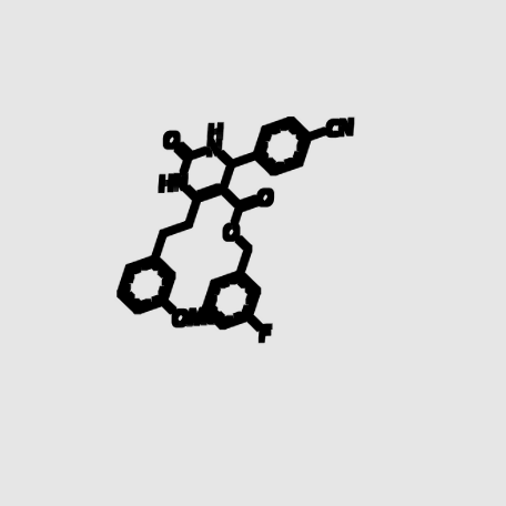 COc1cccc(CCC2=C(C(=O)OCc3cccc(F)c3)C(c3ccc(C#N)cc3)NC(=O)N2)c1